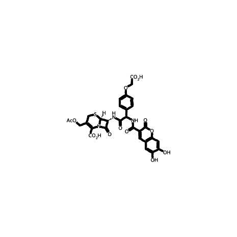 CC(=O)OCC1=C(C(=O)O)N2C(=O)[C@@H](NC(=O)C(NC(=O)c3cc4cc(O)c(O)cc4oc3=O)c3ccc(OCC(=O)O)cc3)[C@@H]2SC1